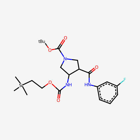 CC(C)(C)OC(=O)N1CC(NC(=O)OCC[Si](C)(C)C)C(C(=O)Nc2cccc(F)c2)C1